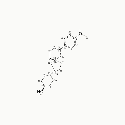 COc1ccc(N2CCC[C@]3(CCN([C@H]4CC[C@H](O)CC4)C3)C2)cn1